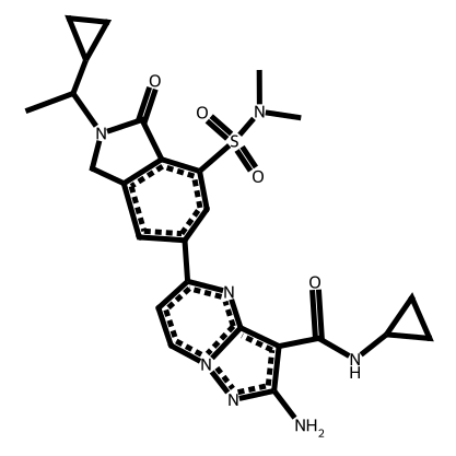 CC(C1CC1)N1Cc2cc(-c3ccn4nc(N)c(C(=O)NC5CC5)c4n3)cc(S(=O)(=O)N(C)C)c2C1=O